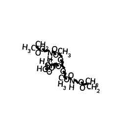 C=C(C)C(=O)OCCNC(=O)OC(C)COCC(COCC(C)OC(=O)NCCOC(=O)C(=C)C)OCC(C)OP(=O)(O)O